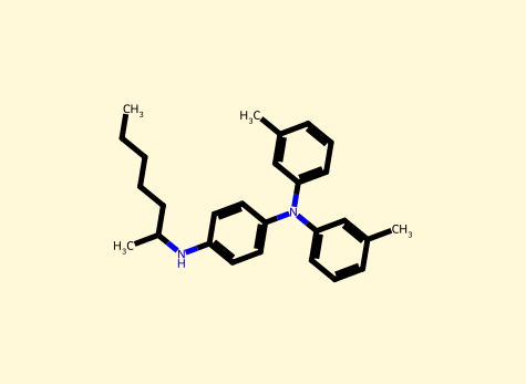 CCCCCC(C)Nc1ccc(N(c2cccc(C)c2)c2cccc(C)c2)cc1